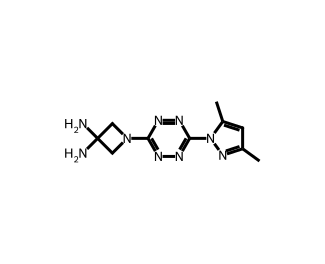 Cc1cc(C)n(-c2nnc(N3CC(N)(N)C3)nn2)n1